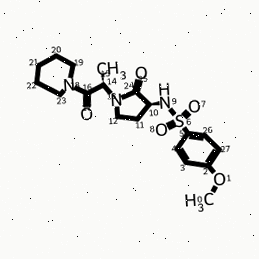 COc1ccc(S(=O)(=O)N[C@H]2CCN([C@@H](C)C(=O)N3CCCCC3)C2=O)cc1